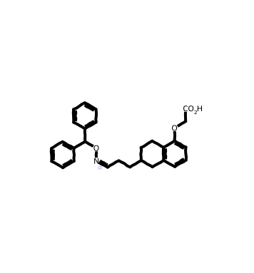 O=C(O)COc1cccc2c1CCC(CC/C=N\OC(c1ccccc1)c1ccccc1)C2